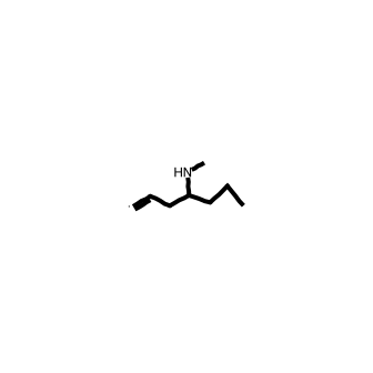 [CH]=CCC(CCC)NC